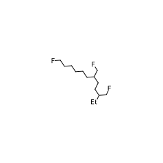 CCC(CF)CCC(CF)CCCCCCF